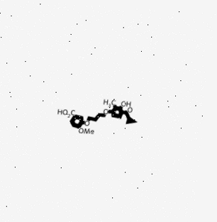 COc1ccc(C(=O)O)cc1OCCCCOc1ccc(C(=O)C2CC2)c(O)c1C